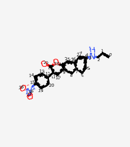 C=CCNc1ccc2cc3cc(-c4ccc([N+](=O)[O-])cc4)c(=O)oc3cc2c1